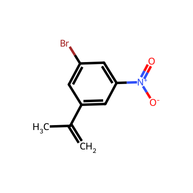 C=C(C)c1cc(Br)cc([N+](=O)[O-])c1